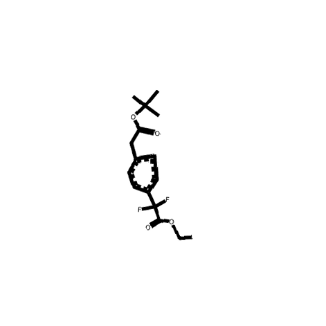 CCOC(=O)C(F)(F)c1ccc(CC(=O)OC(C)(C)C)cc1